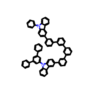 c1ccc(-c2cc(-c3ccccc3)cc(-n3c4ccccc4c4cc(-c5cccc(-c6cccc(-c7cccc(-c8cccc(-c9ccc%10c(c9)c9ccccc9n%10-c9ccccc9)c8)c7)c6)c5)ccc43)c2)cc1